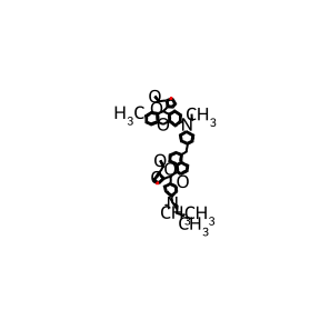 CCN(CCC(C)C)c1ccc2c(c1)Oc1ccc3c(Cc4ccc(N(CC)c5ccc6c(c5)Oc5ccc(C)cc5C65OC(=O)c6ccccc65)cc4)cccc3c1C21OC(=O)c2ccccc21